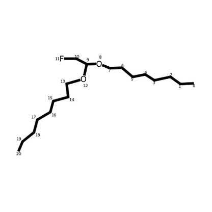 CCCCCCCCOC(CF)OCCCCCCCC